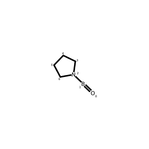 O=BN1CCCC1